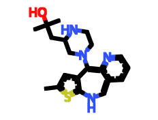 Cc1cc2c(s1)NC=c1cccnc1=C2N1CCNC(CC(C)(C)O)C1